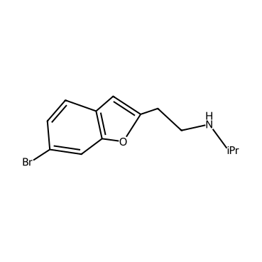 CC(C)NCCc1cc2ccc(Br)cc2o1